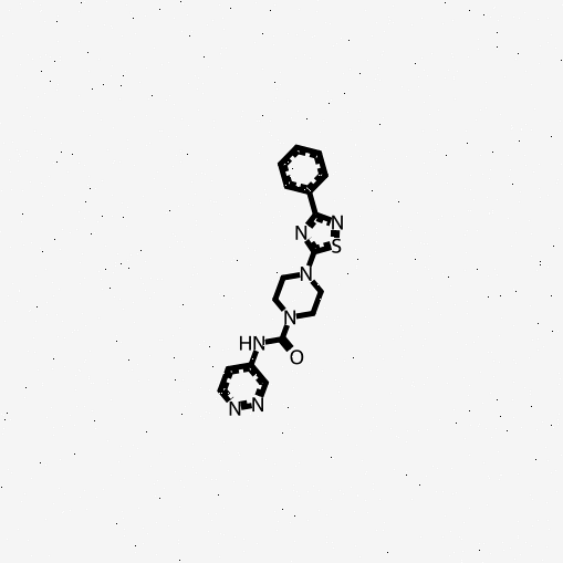 O=C(Nc1ccnnc1)N1CCN(c2nc(-c3ccccc3)ns2)CC1